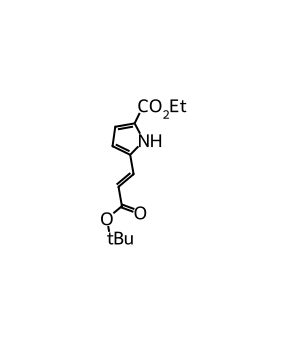 CCOC(=O)c1ccc(/C=C/C(=O)OC(C)(C)C)[nH]1